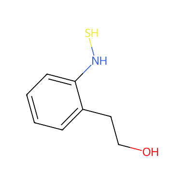 OCCc1ccccc1NS